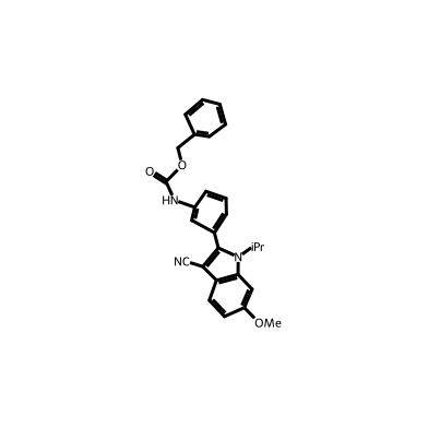 COc1ccc2c(C#N)c(-c3cccc(NC(=O)OCc4ccccc4)c3)n(C(C)C)c2c1